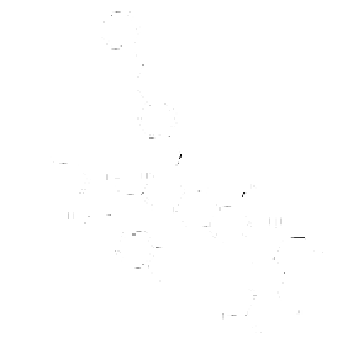 CCCCC(NC(=O)[C@H](CC(C)C)NC(=O)[C@@H](NC(=O)[C@H](Cc1ccccc1C)NC(=O)[C@H](Cc1ccc(OCc2ccccc2)cc1)NC(=O)[C@H](CC(=O)O)NC(=O)CCC(=O)O)C(C)(C)C)C(=O)C(N)=O